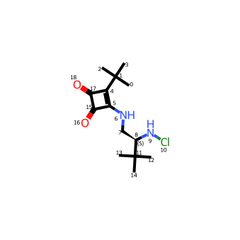 CC(C)(C)c1c(NC[C@@H](NCl)C(C)(C)C)c(=O)c1=O